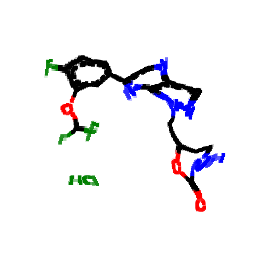 Cl.O=C1NCC(Cn2ncc3ncc(-c4ccc(F)c(OC(F)F)c4)nc32)O1